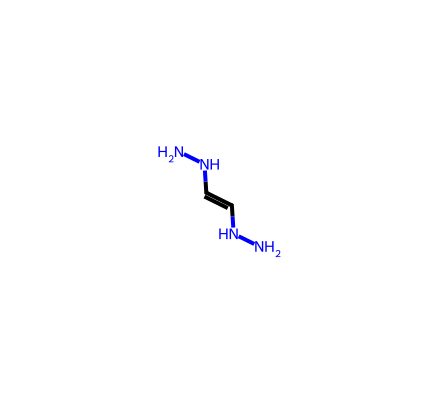 NNC=CNN